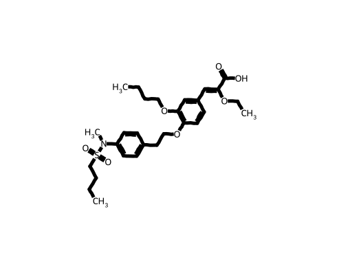 CCCCOc1cc(/C=C(\OCC)C(=O)O)ccc1OCCc1ccc(N(C)S(=O)(=O)CCCC)cc1